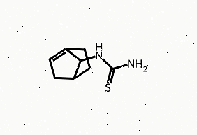 NC(=S)NC1C2=CCC1CC2